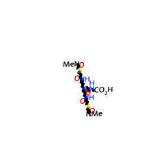 CNC(=O)CSCCC(=O)NCCCN(CCCNC(=O)CCSCC(=O)NC)CC(=O)NCC(=O)O